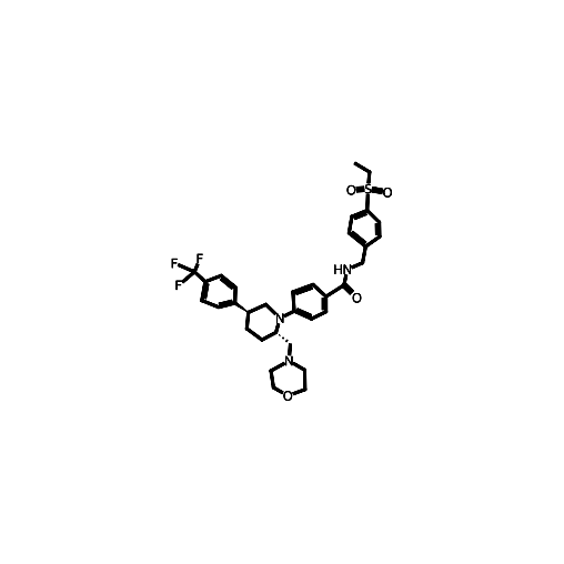 CCS(=O)(=O)c1ccc(CNC(=O)c2ccc(N3C[C@H](c4ccc(C(F)(F)F)cc4)CC[C@H]3CN3CCOCC3)cc2)cc1